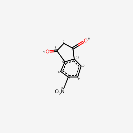 O=C1CC(=O)c2cc([N+](=O)[O-])ccc21